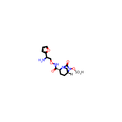 NC(CONC(=O)[C@@H]1CC[C@@H]2CN1C(=O)N2OS(=O)(=O)O)c1ccco1